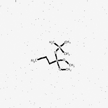 CCC[Si](OC)(OC)O[Si](C)(C)C